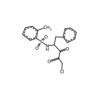 Cc1ccccc1S(=O)(=O)NC(Cc1ccccc1)C(=O)C(=O)CCl